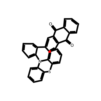 O=C1c2ccccc2C(=O)c2cc(-c3ccccc3N3c4ccccc4Sc4ccccc43)ccc21